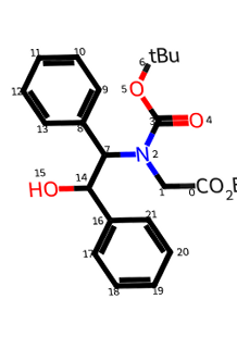 CCOC(=O)CN(C(=O)OC(C)(C)C)C(c1ccccc1)C(O)c1ccccc1